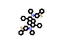 C1=Cc2c(sc3ccc(N(c4ccccc4)c4cc(C5CCCCC5)c5ccc6c(N(c7ccccc7)c7ccc8sc9ccccc9c8c7)cc(C7CCCCC7)c7ccc4c5c76)cc23)CC1